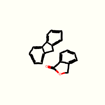 O=C1OCc2ccccc21.c1ccc2c(c1)Cc1ccccc1-2